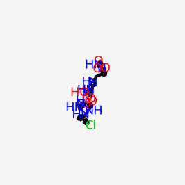 CC1(C)CCC(CNCCNc2ccc(C(=O)NS(=O)(=O)c3ccc(NCC4CCN(CCCC#Cc5cccc6c5CN(C5CCC(=O)NC5=O)C6=O)CC4)c(NO)c3)c(Oc3cnc4[nH]ccc4c3)c2)=C(c2ccc(Cl)cc2)C1